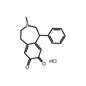 CN1CCC2=CC(=O)C(=O)C=C2C(c2ccccc2)C1.Cl